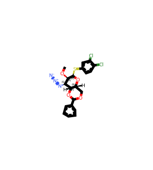 CO[C@@H]1[C@@H](N=[N+]=[N-])[C@H]2OC(c3ccccc3)OC[C@H]2O[C@@H]1Sc1ccc(Cl)c(Cl)c1